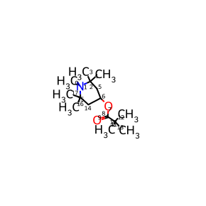 CN1C(C)(C)CC(OC(=O)C(C)(C)C)CC1(C)C